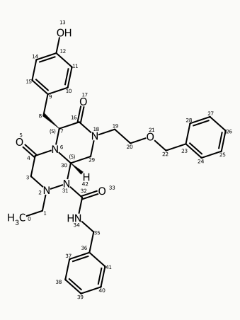 CCN1CC(=O)N2[C@@H](Cc3ccc(O)cc3)C(=O)N(CCOCc3ccccc3)C[C@@H]2N1C(=O)NCc1ccccc1